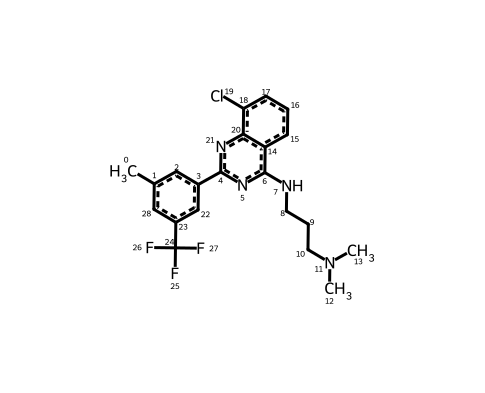 Cc1cc(-c2nc(NCCCN(C)C)c3cccc(Cl)c3n2)cc(C(F)(F)F)c1